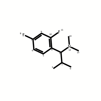 CC(C)C(c1ccc(F)cc1F)N(C)C